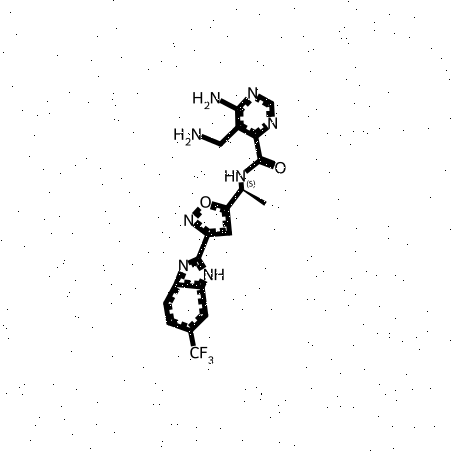 C[C@H](NC(=O)c1ncnc(N)c1CN)c1cc(-c2nc3ccc(C(F)(F)F)cc3[nH]2)no1